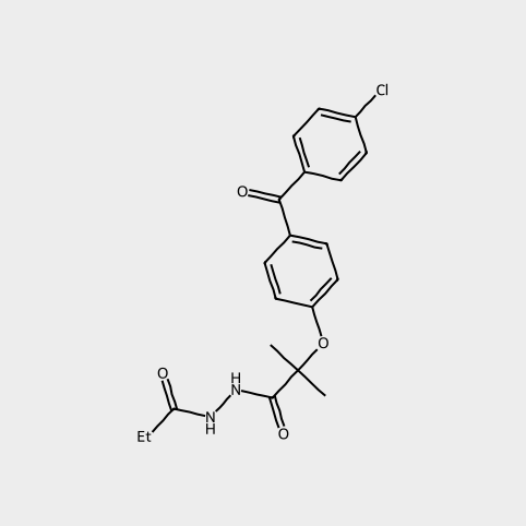 CCC(=O)NNC(=O)C(C)(C)Oc1ccc(C(=O)c2ccc(Cl)cc2)cc1